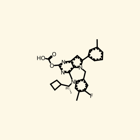 Cc1cccc(-c2cc3nc(OC(=O)O)nc(N[C@H](C)C4CCC4)c3n2Cc2ccc(C)c(F)c2)c1